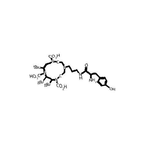 CC(C)(C)C1C(C(C)(C)C)N(C(=O)O)C(C(C)(C)C)CN(C(=O)O)CCN(CCCNC(=O)C(N)Cc2ccc(O)cc2)CCN1C(=O)O